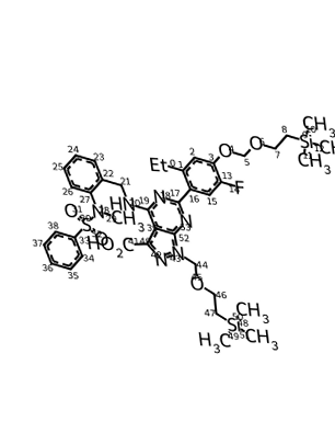 CCc1cc(OCOCC[Si](C)(C)C)c(F)cc1-c1nc(NCc2ccccc2N(C)S(=O)(=O)c2ccccc2)c2c(C(=O)O)nn(COCC[Si](C)(C)C)c2n1